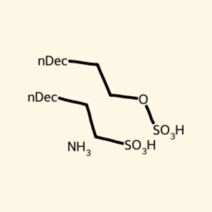 CCCCCCCCCCCCOS(=O)(=O)O.CCCCCCCCCCCCS(=O)(=O)O.N